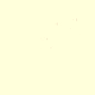 CC(C)(O)CCO[Si](c1ccccc1)(c1ccccc1)C(C)(C)C